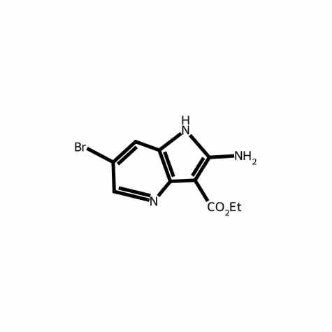 CCOC(=O)c1c(N)[nH]c2cc(Br)cnc12